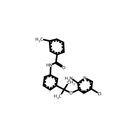 Cc1cccc(C(=O)Nc2cccc(C(C)(C)Oc3cc(Cl)cnc3N)c2)c1